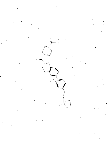 COC(=O)[C@H]1CC[C@H](C(=O)N2CCc3cc(-c4ccc(CCN5CCC[C@H]5C)cc4)ccc3C2)CC1